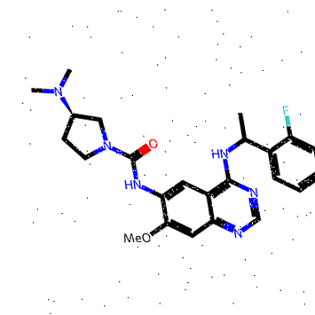 COc1cc2ncnc(NC(C)c3ccccc3F)c2cc1NC(=O)N1CC[C@@H](N(C)C)C1